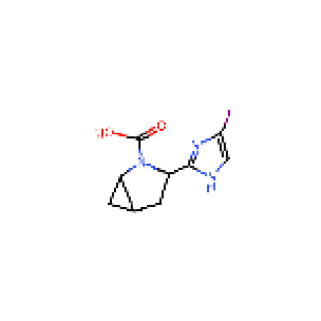 O=C(O)N1C(c2nc(I)c[nH]2)CC2CC21